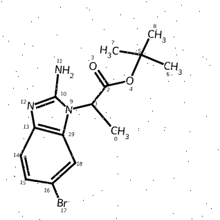 CC(C(=O)OC(C)(C)C)n1c(N)nc2ccc(Br)cc21